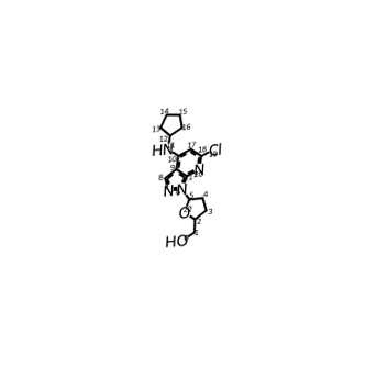 OCC1CCC(n2ncc3c(NC4CCCC4)cc(Cl)nc32)O1